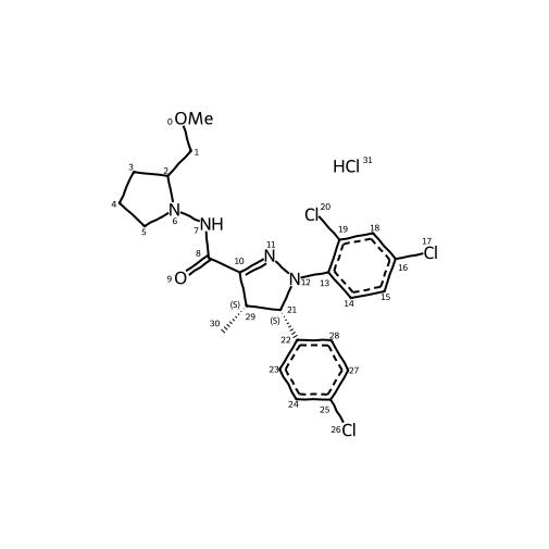 COCC1CCCN1NC(=O)C1=NN(c2ccc(Cl)cc2Cl)[C@H](c2ccc(Cl)cc2)[C@@H]1C.Cl